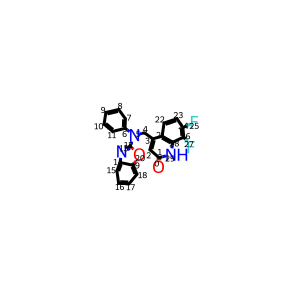 O=c1cc(CN(c2ccccc2)c2nc3ccccc3o2)c2ccc(F)c(F)c2[nH]1